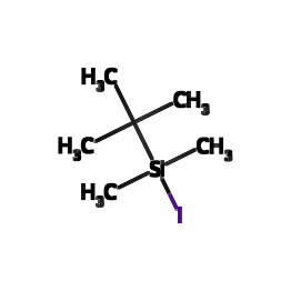 CC(C)(C)[Si](C)(C)I